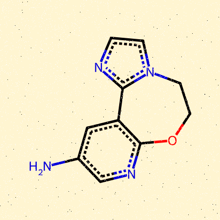 Nc1cnc2c(c1)-c1nccn1CCO2